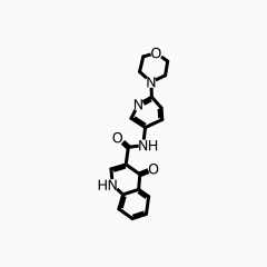 O=C(Nc1ccc(N2CCOCC2)nc1)c1c[nH]c2ccccc2c1=O